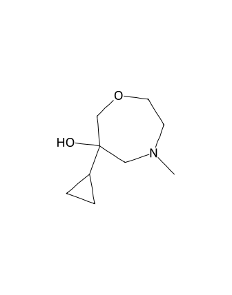 CN1CCOCC(O)(C2CC2)C1